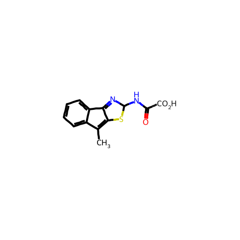 CC1=C2SC(NC(=O)C(=O)O)N=C2c2ccccc21